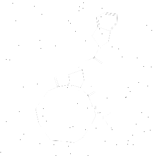 O=C1N[C@H](B(O)O)CCCCCCCCCCC(=O)N2C[C@H](OC(=O)N3Cc4ccccc4C3)C[C@@H]12